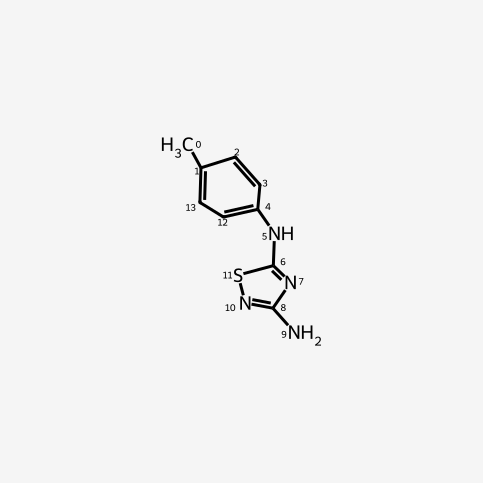 Cc1ccc(Nc2nc(N)ns2)cc1